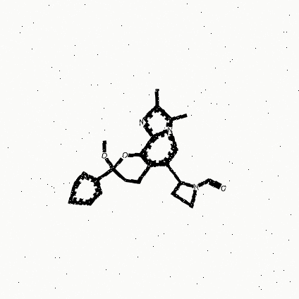 COC1(c2ccccc2)CCc2c(C3CCN3C=O)cn3c(C)c(C)nc3c2O1